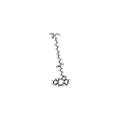 CP(=O)(O)OCCOCCOCCOCCNC(=O)CCCCC(=O)N1Cc2ccccc2/C=C\c2ccccc21